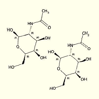 CC(=O)N[C@@H]1[C@@H](O)[C@@H](O)[C@@H](CO)O[C@H]1O.CC(=O)N[C@@H]1[C@@H](O)[C@@H](O)[C@@H](CO)O[C@H]1O